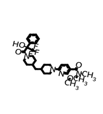 COc1nc(N2CCC(CC3CCN(C(=O)[C@](O)(c4ccccc4)C(F)(F)F)CC3)CC2)ccc1C(=O)N(C)C